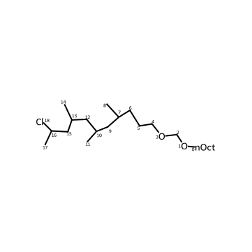 CCCCCCCCOCOCCCC(C)CC(C)CC(C)CC(C)Cl